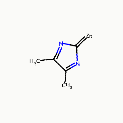 CC1=N[C](=[Zn])N=C1C